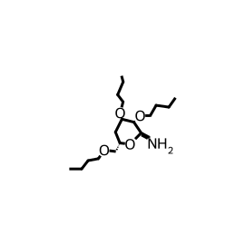 CCCCOC[C@@H]1C[C@H](OCCCC)[C@H](OCCCC)/C(=C/N)O1